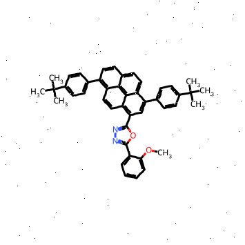 COc1ccccc1-c1nnc(-c2cc(-c3ccc(C(C)(C)C)cc3)c3ccc4ccc(-c5ccc(C(C)(C)C)cc5)c5ccc2c3c45)o1